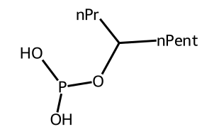 CCCCCC(CCC)OP(O)O